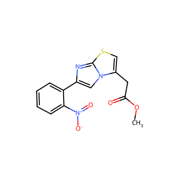 COC(=O)Cc1csc2nc(-c3ccccc3[N+](=O)[O-])cn12